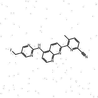 Cc1ccc(C#N)nc1-c1ccc2c(Nc3ncc(CF)cn3)ccnc2n1